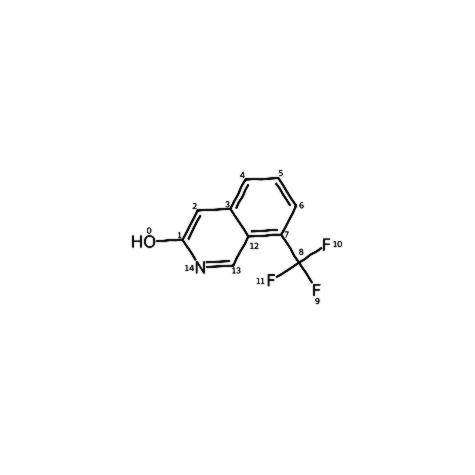 Oc1cc2cccc(C(F)(F)F)c2cn1